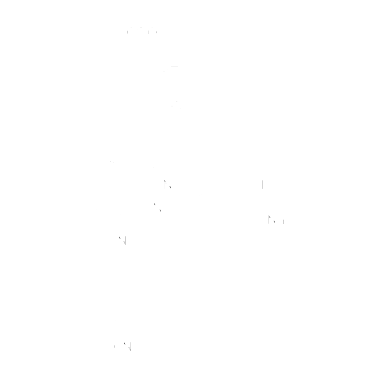 CC(C)c1c(C(=O)NCc2ccc(C#N)cc2)nn(-c2ccc(F)cc2)c1CC[C@@H](O)C[C@@H](O)CC(=O)[O-].[Na+]